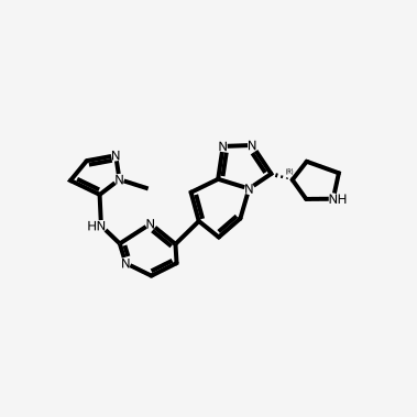 Cn1nccc1Nc1nccc(-c2ccn3c([C@@H]4CCNC4)nnc3c2)n1